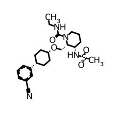 CCNC(=O)N1CCC[C@H](NS(C)(=O)=O)[C@@H]1CO[C@H]1CC[C@@H](c2cccc(C#N)c2)CC1